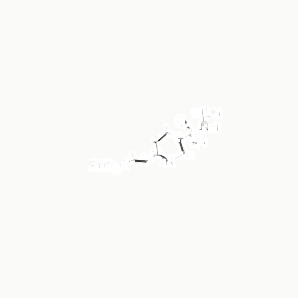 CCOC(=O)C=Cc1ccc(S(=O)(=O)NC(C)(C)C)cn1